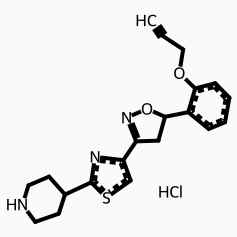 C#CCOc1ccccc1C1CC(c2csc(C3CCNCC3)n2)=NO1.Cl